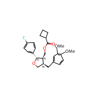 COc1ccc(C[C@H]2CO[C@H](c3ccc(F)cc3)[C@H]2COC(=O)C2CCC2)cc1OC